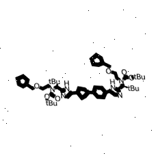 CC(C)(C)OC(=O)N(CCOCc1ccccc1)[C@H](c1ncc(-c2ccc(-c3ccc(-c4cnc([C@@H](N(CCOCc5ccccc5)C(=O)OC(C)(C)C)C(C)(C)C)[nH]4)cc3)cc2)[nH]1)C(C)(C)C